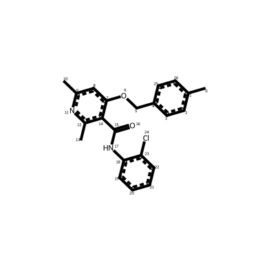 Cc1ccc(COc2cc(C)nc(C)c2C(=O)Nc2ccccc2Cl)cc1